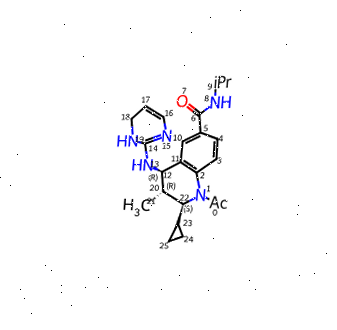 CC(=O)N1c2ccc(C(=O)NC(C)C)cc2[C@H](NC2=NC=CCN2)[C@@H](C)[C@@H]1C1CC1